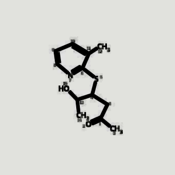 CC(=O)CC(Sc1ncccc1C)C(C)O